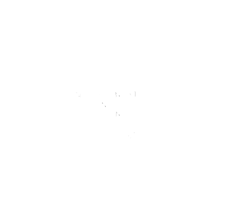 Clc1cccc(Cl)c1Nc1nc2cccc(Br)c2n1C1CCCCC1